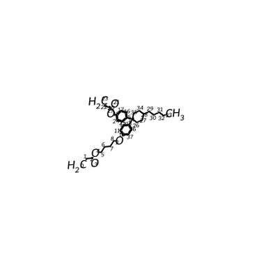 C=CC(=O)OCCCCOc1ccc(C2(c3ccc(OC(=O)C=C)cc3)CCC(CCCCC)CC2)cc1